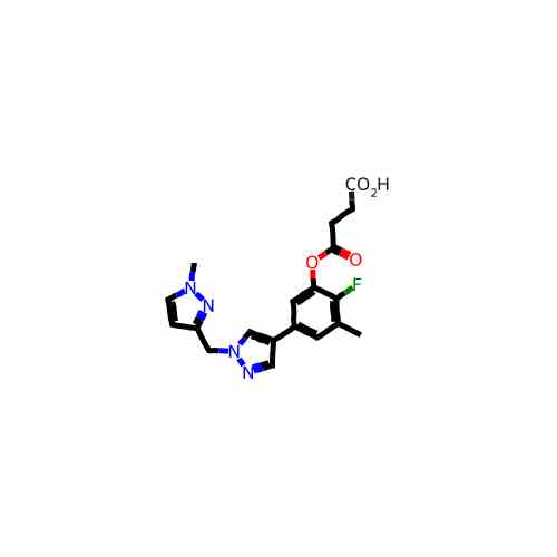 Cc1cc(-c2cnn(Cc3ccn(C)n3)c2)cc(OC(=O)CCC(=O)O)c1F